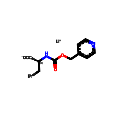 CC(C)C[C@H](NC(=O)OCc1ccncc1)C(=O)[O-].[Li+]